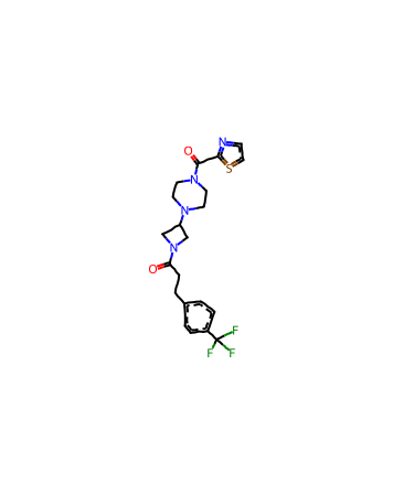 O=C(CCc1ccc(C(F)(F)F)cc1)N1CC(N2CCN(C(=O)c3nccs3)CC2)C1